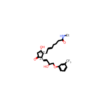 CCNC(=O)CCCC=CC[C@H]1[C@@H](O)CC(=O)[C@@H]1C=CC(O)COc1cccc(C(F)(F)F)c1